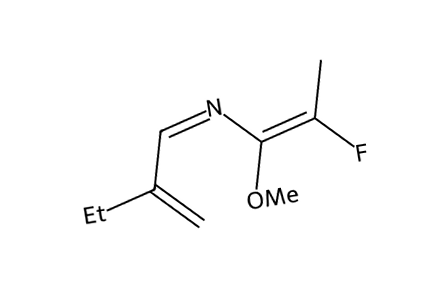 C=C(/C=N\C(OC)=C(/C)F)CC